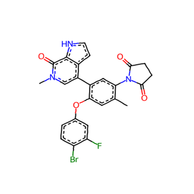 Cc1cc(Oc2ccc(Br)c(F)c2)c(-c2cn(C)c(=O)c3[nH]ccc23)cc1N1C(=O)CCC1=O